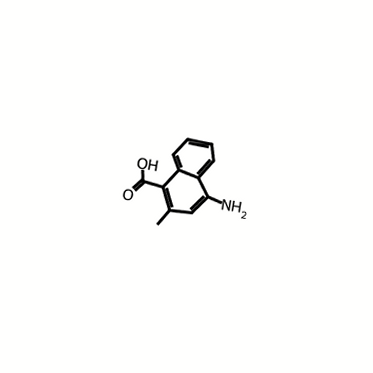 Cc1cc(N)c2ccccc2c1C(=O)O